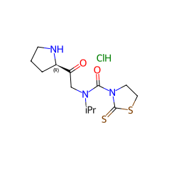 CC(C)N(CC(=O)[C@H]1CCCN1)C(=O)N1CCSC1=S.Cl